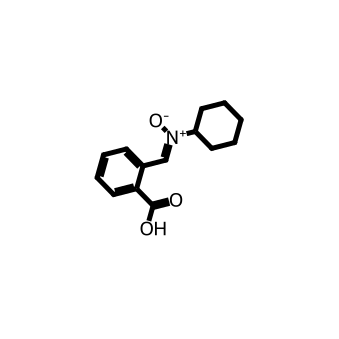 O=C(O)c1ccccc1C=[N+]([O-])C1CCCCC1